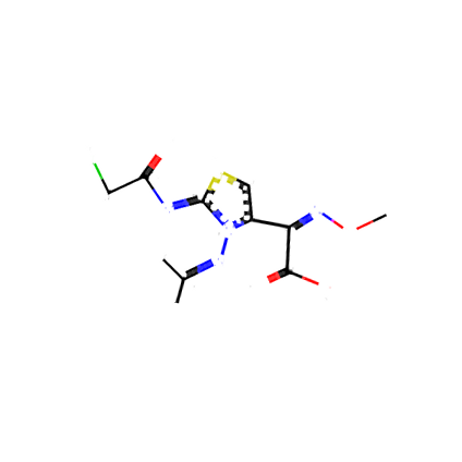 CON=C(C(=O)O)c1csc(=NC(=O)CCl)n1N=C(C)C